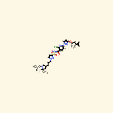 CC1(C)CC(CCCn2ccc(S(=O)(=O)NC(=O)c3ccc(-n4ccc(OCCC5(C(F)(F)F)CC5)n4)nc3Cl)n2)CN1C(=O)O